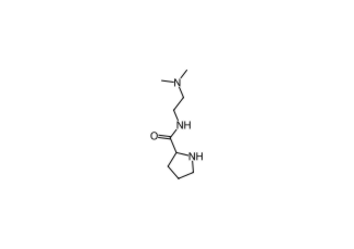 CN(C)CCNC(=O)C1CCCN1